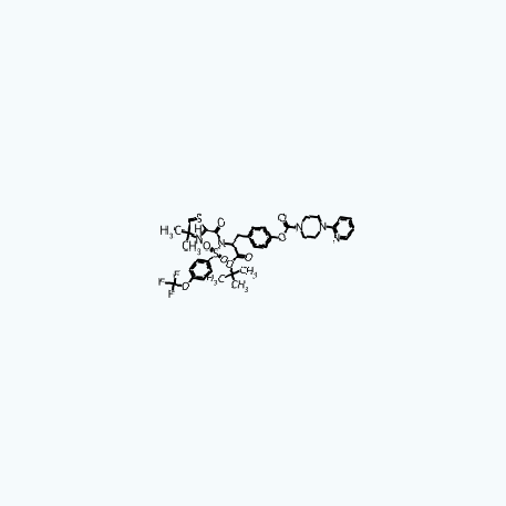 CC1(C)CS[C@@H](C(=O)N([C@@H](Cc2ccc(OC(=O)N3CCN(c4ccccn4)CC3)cc2)C(=O)OC(C)(C)C)S(=O)(=O)c2ccc(OC(F)(F)F)cc2)N1